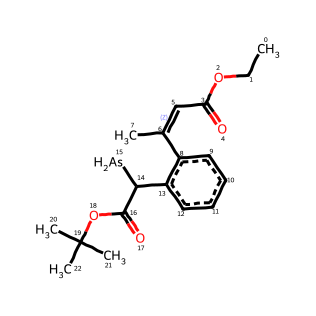 CCOC(=O)/C=C(/C)c1ccccc1C([AsH2])C(=O)OC(C)(C)C